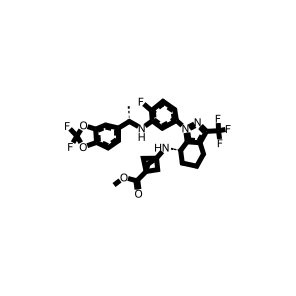 COC(=O)C12CC(N[C@H]3CCCc4c(C(F)(F)F)nn(-c5ccc(F)c(N[C@@H](C)c6ccc7c(c6)OC(F)(F)O7)c5)c43)(C1)C2